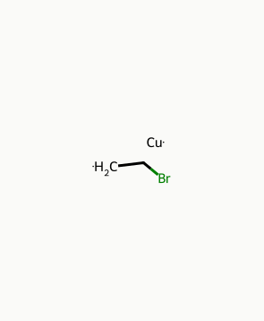 [CH2]CBr.[Cu]